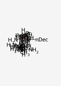 CCCCCCCCCCCCCCCCC(=O)N[C@H](Cc1ccccc1)C(=O)N[C@@H](Cc1ccccc1)C(=O)N[C@H](C(=O)N[C@@H](CC(C)C)C(=O)N[C@@H](CCCCN)C(=O)N[C@@H](CCCCN)C(=O)N[C@@H](CC(N)=O)C(=O)N[C@@H](CCCCN)C(=O)N[C@@H](C)C(=O)N[C@@H](C)C(=O)N[C@@H](CCCCN)C(=O)NCC(=O)O)C(C)C